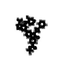 CC(C)n1cnc2cc(-c3ccc4c(c3)N([C@H]3C[C@@H](N5CCCCC5)C3)C(=O)C43CCN(C(=O)OC(C)(C)C)CC3)cc(Nc3ccncc3F)c21